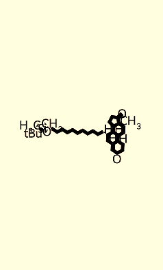 CC(C)(C)[Si](C)(C)OCCCCCCCCCCC[C@H]1CC2=CC(=O)CC[C@@H]2[C@H]2CC[C@]3(C)C(=O)CC[C@H]3[C@H]12